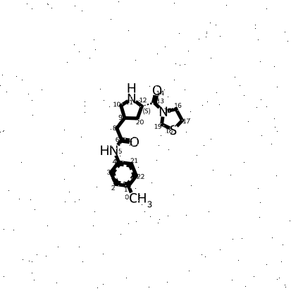 Cc1ccc(NC(=O)CC2CN[C@H](C(=O)N3CCSC3)C2)cc1